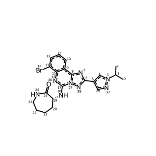 CC(C)n1cc(-c2nc3c4cccc(Br)c4nc(N[C@@H]4CCCCNC4=O)n3n2)cn1